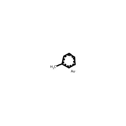 Cc1ccccc1.[Au]